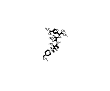 CCN1CCN(S(=O)(=O)c2scc(Nc3n[s+]([O-])nc3N[C@@H](c3cc(C(C)C)co3)C(C)C)c2O)CC1